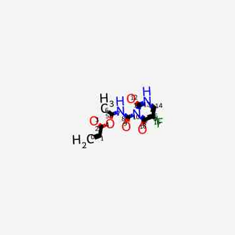 C=CC(=O)OC(C)NC(=O)n1c(=O)[nH]cc(F)c1=O